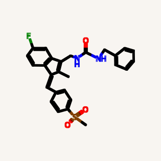 CC1=C(CNC(=O)NCc2ccccc2)c2cc(F)ccc2C1=Cc1ccc(S(C)(=O)=O)cc1